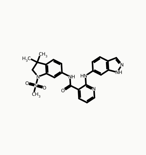 CC1(C)CN(S(C)(=O)=O)c2cc(NC(=O)c3cccnc3Nc3ccc4cn[nH]c4c3)ccc21